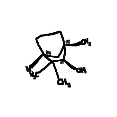 CC1(C)[C@@H]2CC[C@@](C)(C2)[C@H]1O